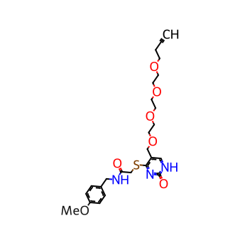 C#CCCOCCOCCOCCOCc1c[nH]c(=O)nc1SCC(=O)NCc1ccc(OC)cc1